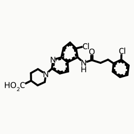 O=C(CCc1ccccc1Cl)Nc1c(Cl)ccc2nc(N3CCC(C(=O)O)CC3)ccc12